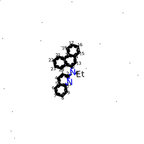 CCN(c1ccc2ccccc2n1)c1cc2ccccc2c2ccccc12